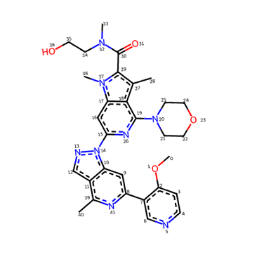 COc1ccncc1-c1cc2c(cnn2-c2cc3c(c(N4CCOCC4)n2)c(C)c(C(=O)N(C)CCO)n3C)c(C)n1